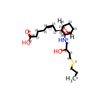 CCCSCCC(O)CN[C@H]1[C@@H](C/C=C\CCCC(=O)O)[C@H]2CC[C@@H]1O2